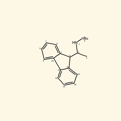 CCCCNC(C)C1c2ccccc2-c2ccccc21